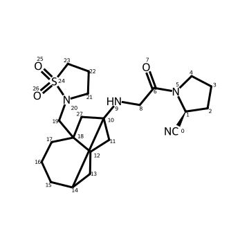 N#C[C@@H]1CCCN1C(=O)CNC12CC3CC1CCCC3(CN1CCCS1(=O)=O)C2